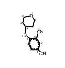 N#Cc1ccc(OC2CCOCC2)c(C#N)c1